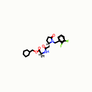 CC(C)[C@H](NC(=O)C[C@@H]1CCC(=O)N1Cc1cccc(F)c1F)C(=O)OCC1CCCCC1